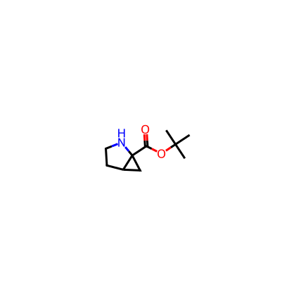 CC(C)(C)OC(=O)C12CC1CCN2